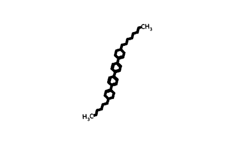 CCCCCCCCC1CC=C(c2ccc(-c3ccc(C4=CCC(CCCCCC)CC4)cc3)cc2)CC1